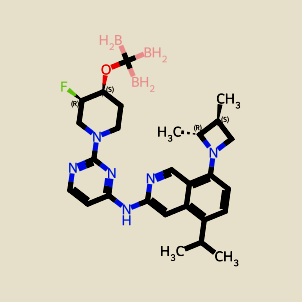 BC(B)(B)O[C@H]1CCN(c2nccc(Nc3cc4c(C(C)C)ccc(N5C[C@H](C)[C@H]5C)c4cn3)n2)C[C@H]1F